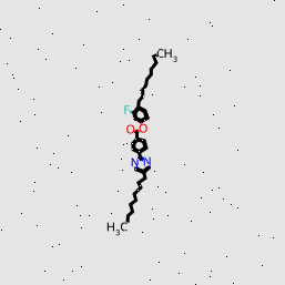 CCCCCCCCCCc1cnc(-c2ccc(C(=O)Oc3ccc(CCCCCCCCCC)c(F)c3)cc2)nc1